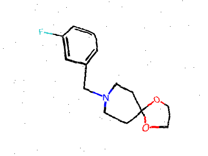 Fc1cccc(CN2CCC3(CC2)OCCO3)c1